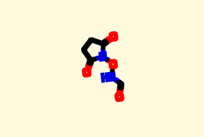 O=CNON1C(=O)CCC1=O